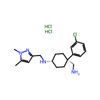 Cc1cc(CN[C@H]2CC[C@](CN)(c3cccc(Cl)c3)CC2)nn1C.Cl.Cl